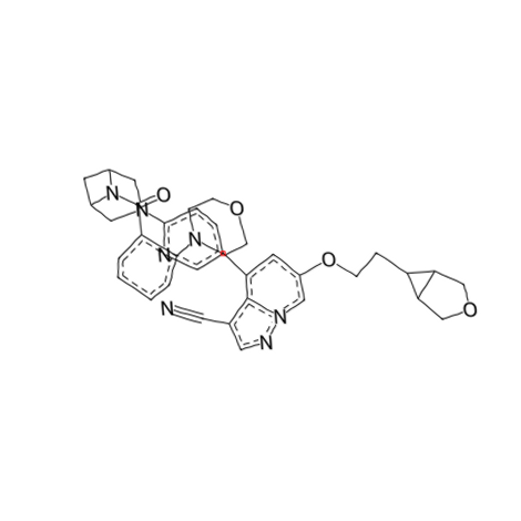 N#Cc1cnn2cc(OCCC3C4COCC34)cc(-c3ccc(N4CC5CC(C4)N5C(=O)c4ccccc4N4CCOCC4)nc3)c12